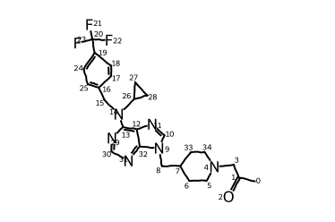 CC(=O)CN1CCC(Cn2cnc3c(N(Cc4ccc(C(F)(F)F)cc4)C4CC4)ncnc32)CC1